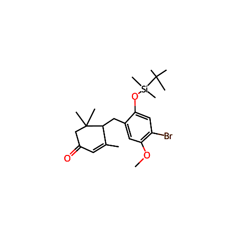 COc1cc(CC2C(C)=CC(=O)CC2(C)C)c(O[Si](C)(C)C(C)(C)C)cc1Br